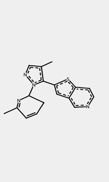 CC1=NC(n2ncc(C)c2-c2cc3cnccc3s2)CC=C1